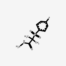 CC(C)(C(=O)NN)S(=O)(=O)c1ccc(F)cc1